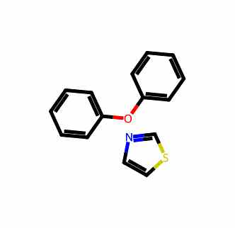 c1ccc(Oc2ccccc2)cc1.c1cscn1